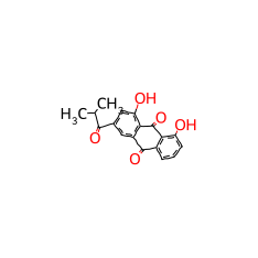 CC(C)C(=O)c1cc(O)c2c(c1)C(=O)c1cccc(O)c1C2=O